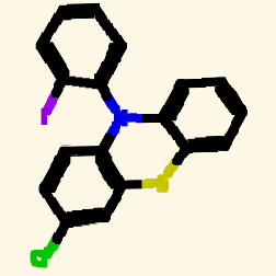 Clc1ccc2c(c1)Sc1ccccc1N2c1ccccc1I